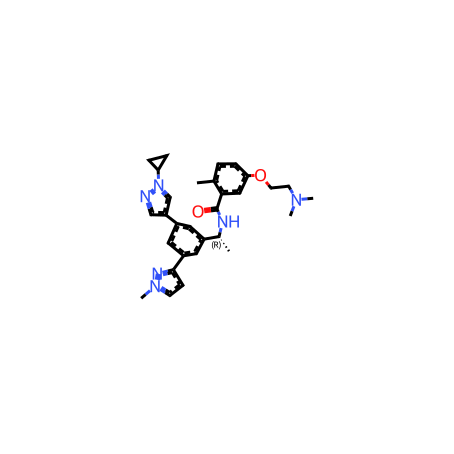 Cc1ccc(OCCN(C)C)cc1C(=O)N[C@H](C)c1cc(-c2cnn(C3CC3)c2)cc(-c2ccn(C)n2)c1